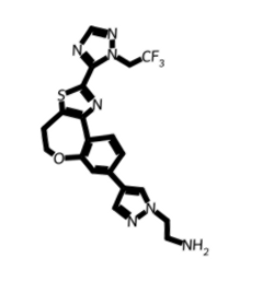 NCCn1cc(-c2ccc3c(c2)OCCc2sc(-c4ncnn4CC(F)(F)F)nc2-3)cn1